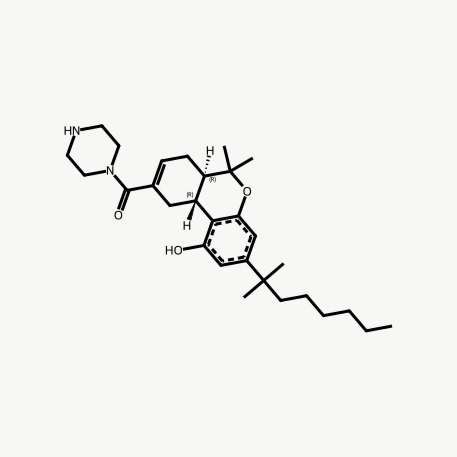 CCCCCCC(C)(C)c1cc(O)c2c(c1)OC(C)(C)[C@@H]1CC=C(C(=O)N3CCNCC3)C[C@@H]21